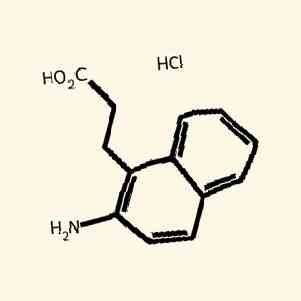 Cl.Nc1ccc2ccccc2c1CCC(=O)O